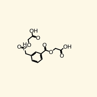 O=C(O)COC(=O)c1cccc(C[PH](=O)OCC(=O)O)c1